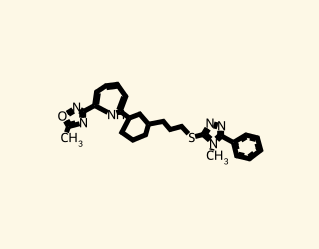 Cc1nc(C2=CC=CC=C(C3CCCC(CCCSc4nnc(-c5ccccc5)n4C)C3)N2)no1